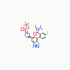 CCN(C(=O)c1cc(F)ccc1-c1cc([C@H]2CCN(C(=O)OC(C)(C)C)C2)cc2c1cnn2C)C(C)C